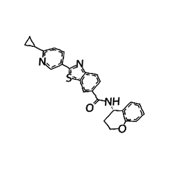 O=C(N[C@H]1CCOc2ccccc21)c1ccc2nc(-c3ccc(C4CC4)nc3)sc2c1